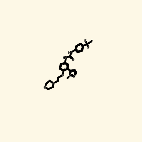 Cn1nccc1-c1cc(NC(=O)Nc2ccc(C(F)(F)F)cc2)ccc1OCCN1CCOCC1